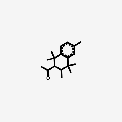 CC(=O)C1C(C)C(C)(C)c2cc(C)ccc2C1(C)C